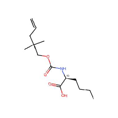 C=CCC(C)(C)COC(=O)N[C@@H](CCCC)C(=O)O